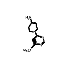 COc1cc(N2CCC(N)CC2)ncn1